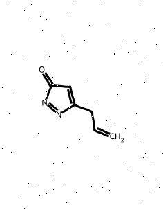 C=CCC1=CC(=O)N=N1